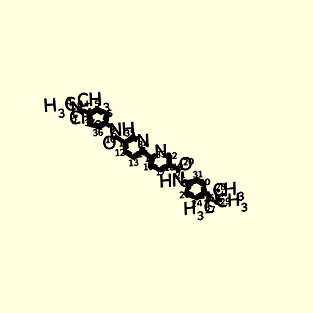 C[N+](C)(C)c1ccc(NC(=O)c2ccc(-c3ccc(C(=O)Nc4ccc([N+](C)(C)C)cc4)cn3)nc2)cc1